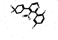 O=[N+]([O-])c1c(C2=CCC(F)(F)CC2)ccnc1-c1cc(F)ccc1F